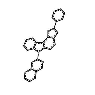 c1ccc(-c2cc3ccc4c(c5ccccc5n4-c4cc5ccccc5cn4)c3o2)cc1